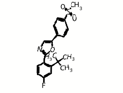 CC(C)(C)c1cc(F)ccc1-c1ncc(-c2ccc(S(C)(=O)=O)cc2)o1